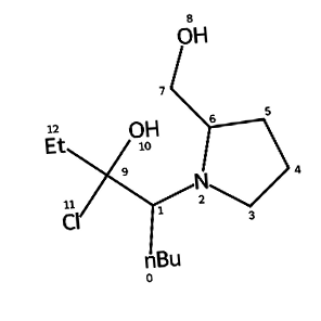 CCCCC(N1CCCC1CO)C(O)(Cl)CC